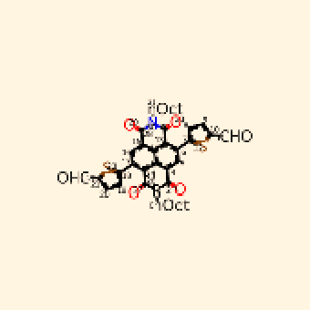 CCCCCCCCB1C(=O)c2cc(-c3ccc(C=O)s3)c3c4c(cc(-c5ccc(C=O)s5)c(c24)C1=O)C(=O)N(CCCCCCCC)C3=O